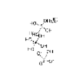 O[Si](O)(O)O.O[Si](O)(O)O.[K+].[Li+].[Na+].[O-][Si]([O-])([O-])O